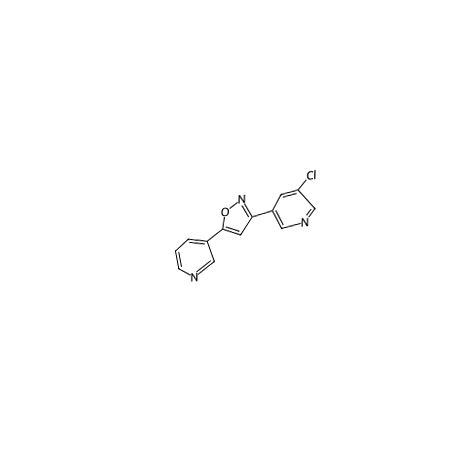 Clc1cncc(-c2cc(-c3cccnc3)on2)c1